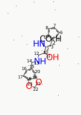 O=C(O)N[C@@H](Cc1ccccc1)[C@@H](O)CNCc1ccc2c(c1)OCO2